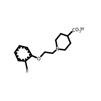 O=C(O)C1CCN(CCOc2ccccc2F)CC1